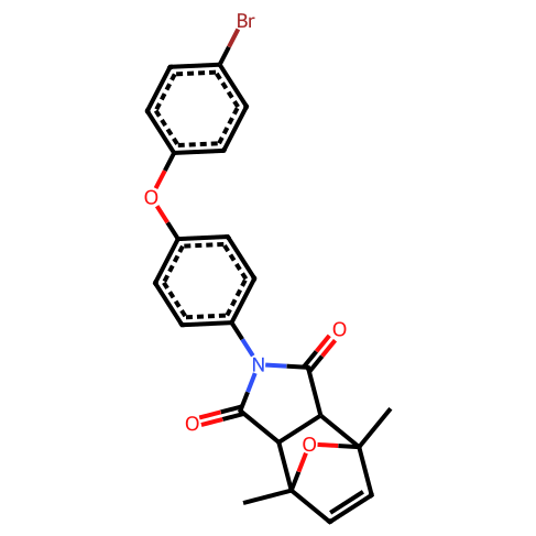 CC12C=CC(C)(O1)C1C(=O)N(c3ccc(Oc4ccc(Br)cc4)cc3)C(=O)C12